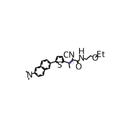 CCOCCNC(=O)/C(C#N)=C(\C)c1ccc(-c2ccc3cc(N(C)C)ccc3c2)s1